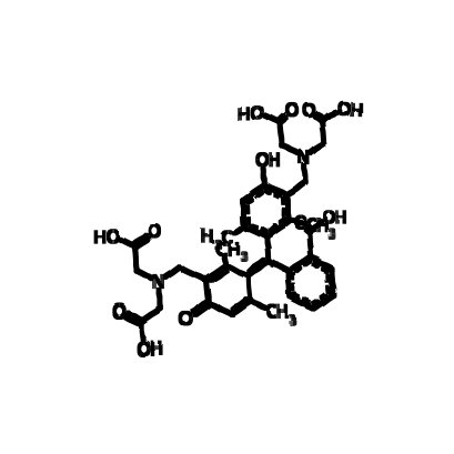 CC1=CC(=O)C(CN(CC(=O)O)CC(=O)O)=C(C)/C1=C(/c1ccccc1C(=O)O)c1c(C)cc(O)c(CN(CC(=O)O)CC(=O)O)c1C